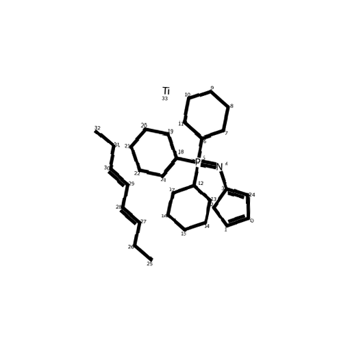 C1=CCC(N=P(C2CCCCC2)(C2CCCCC2)C2CCCCC2)=C1.CCC=CC=CCC.[Ti]